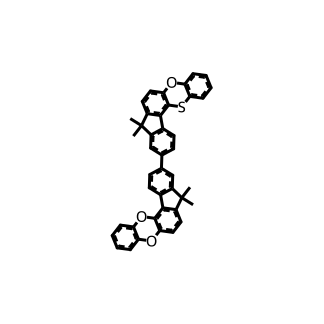 CC1(C)c2cc(-c3ccc4c(c3)C(C)(C)c3ccc5c(c3-4)Sc3ccccc3O5)ccc2-c2c1ccc1c2Oc2ccccc2O1